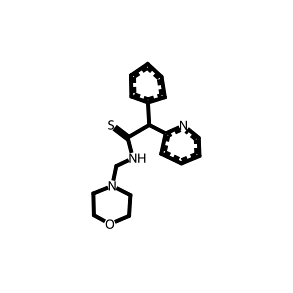 S=C(NCN1CCOCC1)C(c1ccccc1)c1ccccn1